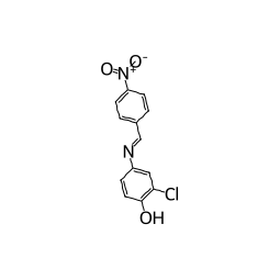 O=[N+]([O-])c1ccc(C=Nc2ccc(O)c(Cl)c2)cc1